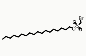 CCCCCCCCCCCCCCCCCCOS(=O)(=O)CBr